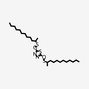 CCCCCCCCCCC(C)SOc1nnc(OSC(C)CCCCCCCCCC)s1